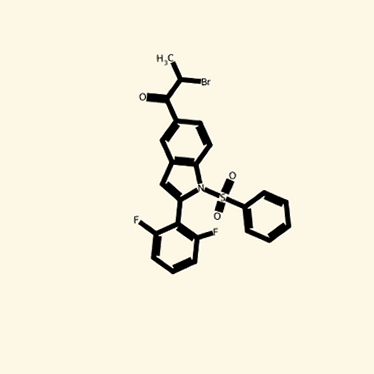 CC(Br)C(=O)c1ccc2c(c1)cc(-c1c(F)cccc1F)n2S(=O)(=O)c1ccccc1